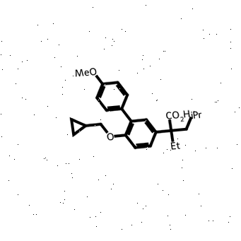 CCC(CC(C)C)(C(=O)O)c1ccc(OCC2CC2)c(-c2ccc(OC)cc2)c1